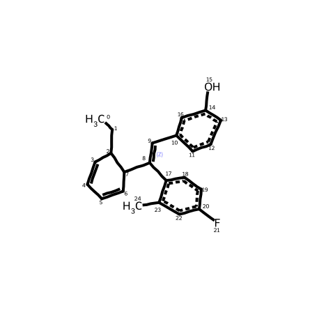 CCC1C=CC=CC1/C(=C/c1cccc(O)c1)c1ccc(F)cc1C